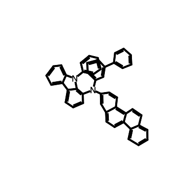 c1ccc(-c2cccc(N(c3ccc4c(ccc5c6ccccc6ccc45)c3)c3cccc4c5ccccc5n(-c5ccccc5)c34)c2)cc1